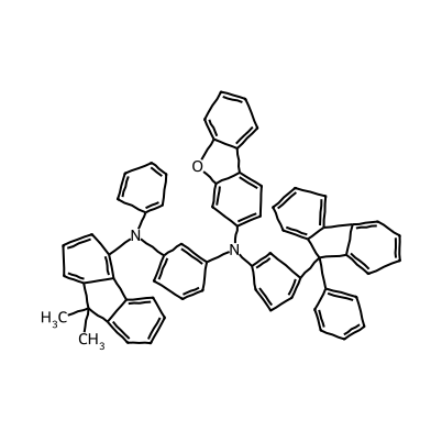 CC1(C)c2ccccc2-c2c(N(c3ccccc3)c3cccc(N(c4cccc(C5(c6ccccc6)c6ccccc6-c6ccccc65)c4)c4ccc5c(c4)oc4ccccc45)c3)cccc21